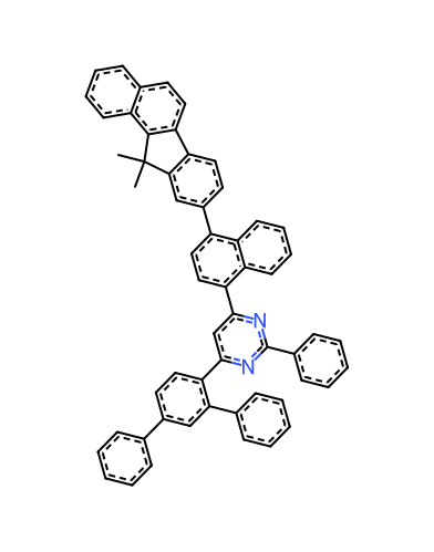 CC1(C)c2cc(-c3ccc(-c4cc(-c5ccc(-c6ccccc6)cc5-c5ccccc5)nc(-c5ccccc5)n4)c4ccccc34)ccc2-c2ccc3ccccc3c21